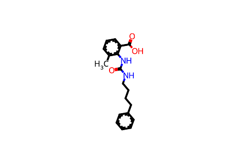 Cc1cccc(C(=O)O)c1NC(=O)NCCCCc1ccccc1